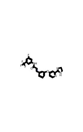 O=C(/C=C/c1cccc(Oc2ccnc(C3=NCCN3)c2)c1)Nc1cc(F)cc(C(F)(F)F)c1